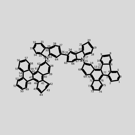 c1ccc2c(c1)c1ccccc1c1c3cc(-n4c5ccccc5c5cc(-c6ccc7c8ccccc8n(-c8ccc9c%10ccccc%10c%10c%11ccccc%11c%11ccccc%11c%10c9c8)c7c6)ccc54)ccc3c3ccccc3c21